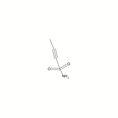 CC#CS(N)(=O)=O